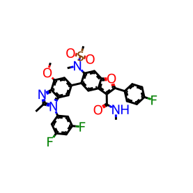 CNC(=O)c1c(-c2ccc(F)cc2)oc2cc(N(C)S(C)(=O)=O)c(-c3cc(OC)c4nc(C)n(-c5cc(F)cc(F)c5)c4c3)cc12